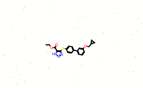 CCOC(=O)c1[nH]nnc1Sc1ccc(-c2cccc(OCC3CC3)c2)cc1